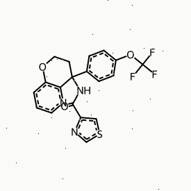 O=C(NC1(c2ccc(OC(F)(F)F)cc2)CCOc2cccnc21)c1cscn1